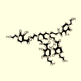 CCC(CN(CCNC(=O)c1ccn(CCO)c(=O)c1O)CCNC(=O)c1ccn(CCO)c(=O)c1O)CN(CCNC(=O)c1ccn(CCO)c(=O)c1O)CCNC(=O)c1ccn(CCO)c(=O)c1O